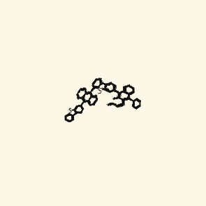 CC/C=C\c1c(C)c(-c2ccc3c(c2)sc2c(-c4c5c(c(-c6ccc7c(c6)sc6ccccc67)c6ccccc46)CCC=C5)cccc23)c2ccccc2c1-c1ccccc1